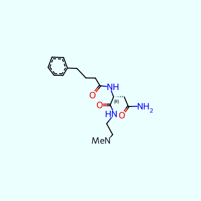 CNCCNC(=O)[C@@H](CC(N)=O)NC(=O)CCCc1ccccc1